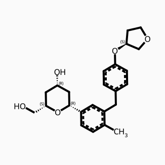 Cc1ccc([C@H]2C[C@@H](O)C[C@@H](CO)O2)cc1Cc1ccc(O[C@H]2CCOC2)cc1